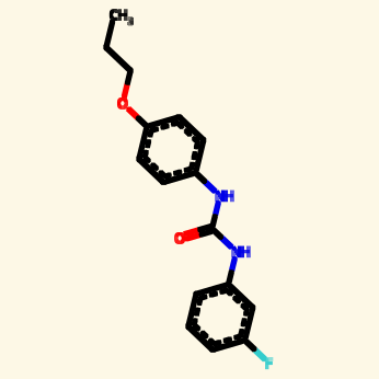 CCCOc1ccc(NC(=O)Nc2cccc(F)c2)cc1